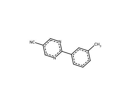 Cc1cccc(-c2ncc(C#N)cn2)c1